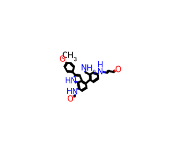 COc1ccc(-c2cc3c(-c4ccc(NC=CC=O)cc4CN)ccc(NC=O)c3[nH]2)cc1